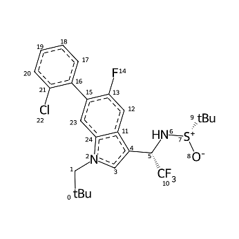 CC(C)(C)Cn1cc([C@H](N[S@@+]([O-])C(C)(C)C)C(F)(F)F)c2cc(F)c(-c3ccccc3Cl)cc21